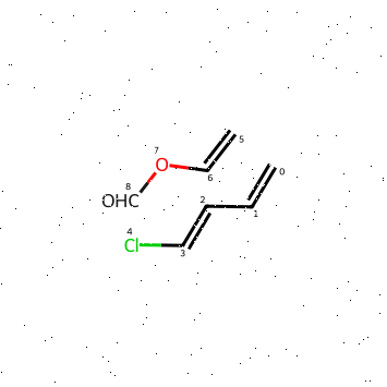 C=CC=CCl.C=COC=O